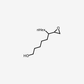 CCCCCCC(CCCCCO)C1CO1